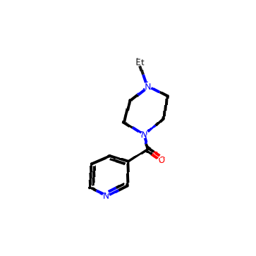 CCN1CCN(C(=O)c2cccnc2)CC1